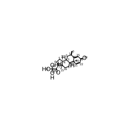 C=C1C[C@H]2[C@@H]3CC[C@H](C(=O)C(O)(O)O)[C@@]3(C)CC[C@@H]2[C@@]2(C)C=CC(=O)C=C12